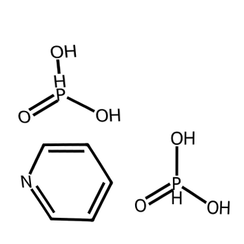 O=[PH](O)O.O=[PH](O)O.c1ccncc1